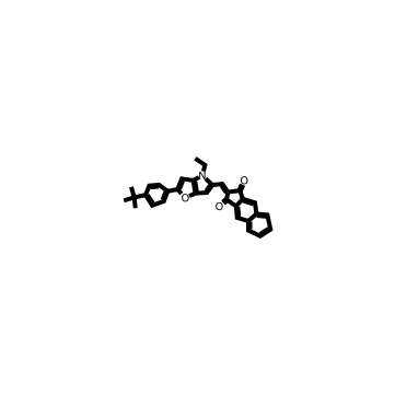 CCn1c(C=C2C(=O)c3cc4ccccc4cc3C2=O)cc2oc(-c3ccc(C(C)(C)C)cc3)cc21